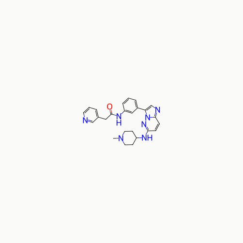 CN1CCC(Nc2ccc3ncc(-c4cccc(NC(=O)Cc5cccnc5)c4)n3n2)CC1